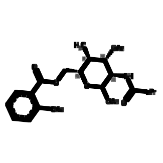 CCCC(=O)N[C@H]1C(OC(C)=O)O[C@H](COC(=O)c2ccccc2OC(C)=O)[C@@H](C)[C@@H]1OC(C)=O